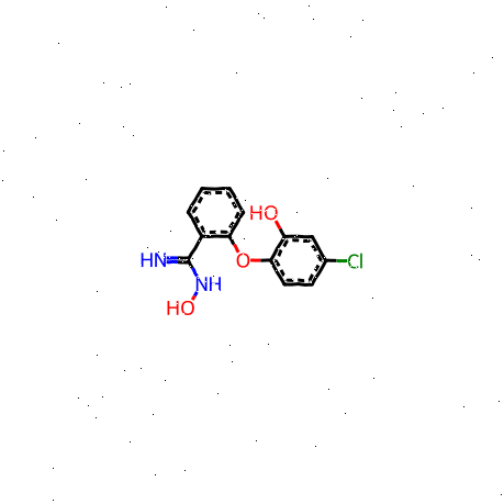 N=C(NO)c1ccccc1Oc1ccc(Cl)cc1O